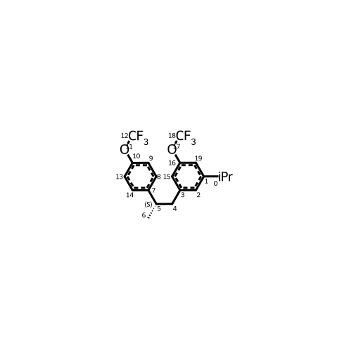 CC(C)c1cc(C[C@H](C)c2ccc(OC(F)(F)F)cc2)cc(OC(F)(F)F)c1